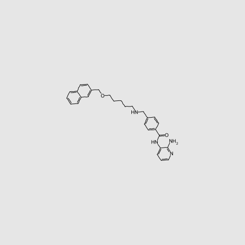 Nc1ncccc1NC(=O)c1ccc(CNCCCCCOCc2ccc3ccccc3c2)cc1